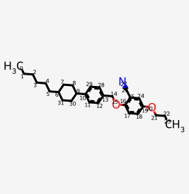 CCCCCCC1CCC(c2ccc(COc3ccc(OCCC)cc3C#N)cc2)CC1